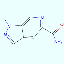 Cn1ncc2cc(C(N)=O)ncc21